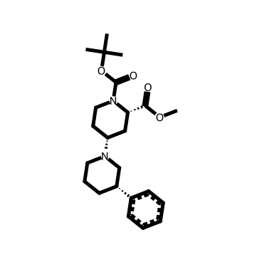 COC(=O)[C@@H]1C[C@H](N2CCC[C@@H](c3ccccc3)C2)CCN1C(=O)OC(C)(C)C